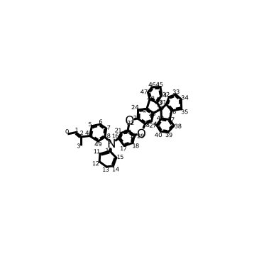 C/C=C(\C)c1cccc(N(C2=CCCC=C2)c2ccc3c(c2)Oc2cc4c(cc2O3)C2(c3ccccc3-c3ccccc32)c2ccccc2-4)c1